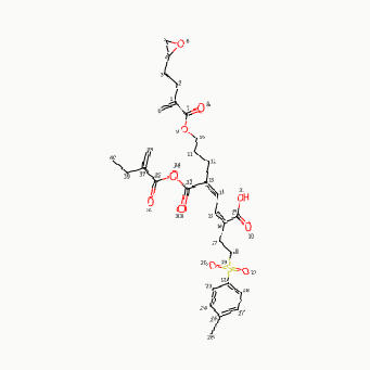 C=C(CCC1CO1)C(=O)OCCCC(=CC=C(CCS(=O)(=O)c1ccc(C)cc1)C(=O)O)C(=O)OC(=O)C(=C)CC